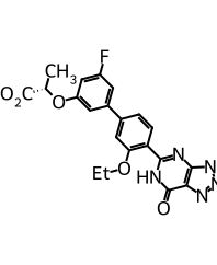 CCOc1cc(-c2cc(F)cc(O[C@@H](C)C(=O)O)c2)ccc1-c1nc2[nH]nnc2c(=O)[nH]1